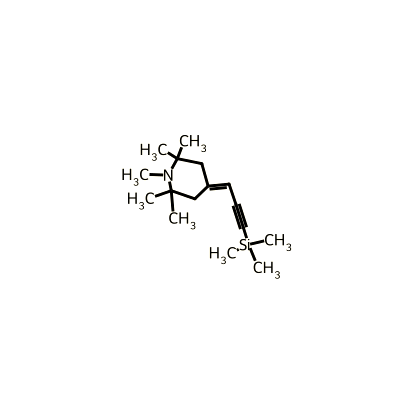 CN1C(C)(C)CC(=CC#C[Si](C)(C)C)CC1(C)C